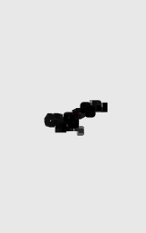 CCC(C)C(=O)OC1CC2CC1CC2C(=O)OC(C)c1ccc2ccccc2c1Br